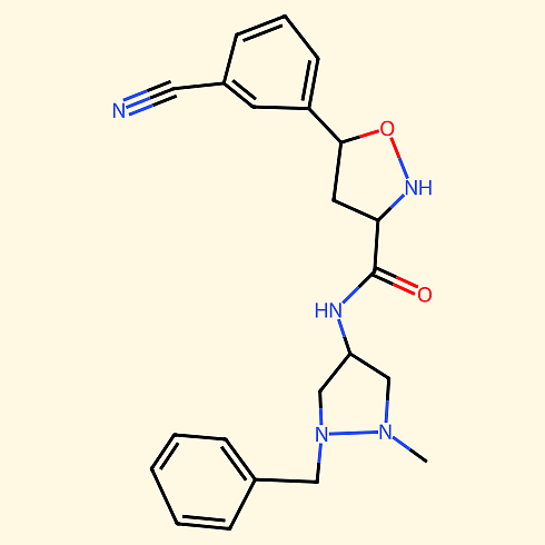 CN1CC(NC(=O)C2CC(c3cccc(C#N)c3)ON2)CN1Cc1ccccc1